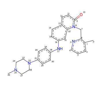 Cc1cccnc1Cn1c(=O)ccc2ccc(Nc3ccc(N4CCN(C)CC4)cc3)cc21